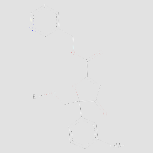 CCOCC1(c2cccc(OC)c2)OC(C(=O)OCc2cccnc2)=CC1=O